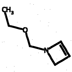 CCOCN1C=CC1